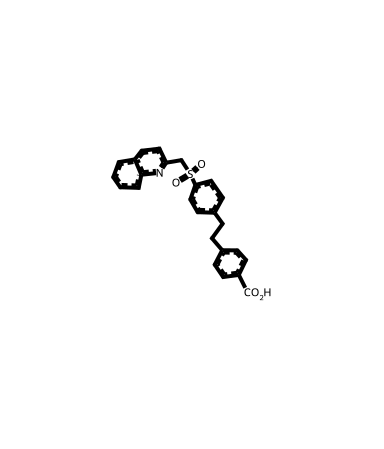 O=C(O)c1ccc(CCc2ccc(S(=O)(=O)Cc3ccc4ccccc4n3)cc2)cc1